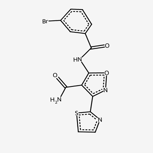 NC(=O)c1c(-c2nccs2)noc1NC(=O)c1cccc(Br)c1